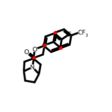 O=C(COc1ccc(C(F)(F)F)cc1)N1C2CCC1CC(Oc1ccc(F)cc1)C2